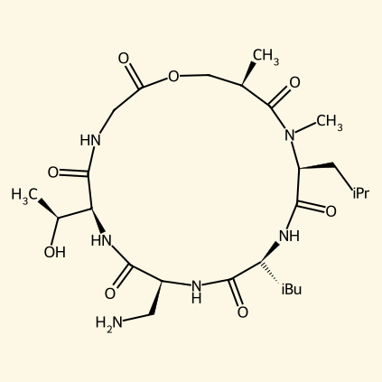 CC[C@@H](C)[C@@H]1NC(=O)[C@H](CC(C)C)N(C)C(=O)[C@H](C)COC(=O)CNC(=O)[C@H]([C@H](C)O)NC(=O)[C@H](CN)NC1=O